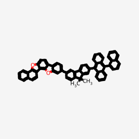 CC1(C)c2ccc(-c3ccc4c(c3)oc3c4ccc4oc5c6ccccc6ccc5c43)cc2-c2ccc(-c3c4ccccc4c(-c4cccc5ccccc45)c4ccccc34)cc21